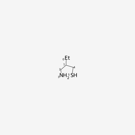 CCC(CN)CS